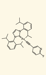 CC(C)c1cccc(C(C)C)c1-n1ccn(-c2c(C(C)C)cccc2C(C)C)[c]1=[Au][C]#Cc1ccc(F)nc1